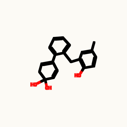 Cc1ccc(O)c(Cc2ccccc2C2=CCC(O)(O)C=C2)c1